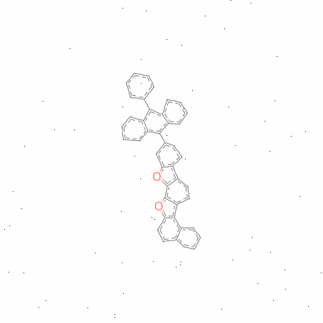 c1ccc(-c2c3ccccc3c(-c3ccc4c(c3)oc3c4ccc4c3oc3ccc5ccccc5c34)c3ccccc23)cc1